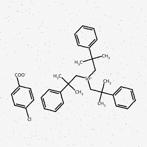 CC(C)([CH2][Sn+]([CH2]C(C)(C)c1ccccc1)[CH2]C(C)(C)c1ccccc1)c1ccccc1.O=C([O-])c1ccc(Cl)cc1